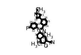 C[C@H]1C(=O)C(C#N)=C[C@@]2(C)c3nc(-c4cccc(-c5cnn(C)c5)c4)n(-c4cccc(F)c4)c3CC[C@H]12